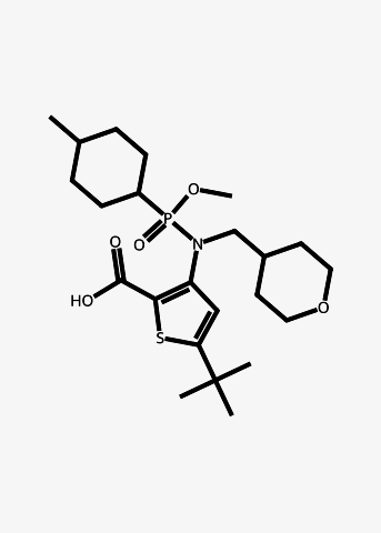 COP(=O)(C1CCC(C)CC1)N(CC1CCOCC1)c1cc(C(C)(C)C)sc1C(=O)O